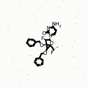 C[C@H](F)[C@]12O[C@@H](n3ccc(N)nc3=O)[C@H](F)[C@@]1(OCc1ccccc1)C2OCc1ccccc1